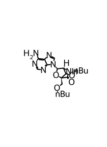 CCCCOC[C@]12O[C@@H](n3cnc4c(N)ncnc43)[C@@H](NC1=O)C2OCCCC